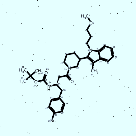 COCCCn1c(C2CCCN(C(=O)C[C@@H](Cc3ccc(Br)cc3)NC(=O)OC(C)(C)C)C2)c(C)c2ccccc21